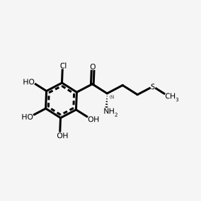 CSCC[C@H](N)C(=O)c1c(O)c(O)c(O)c(O)c1Cl